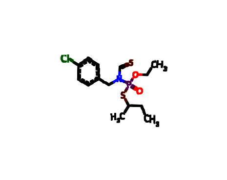 CCOP(=O)(SC(C)CC)N(C=S)Cc1ccc(Cl)cc1